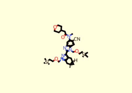 CN(C(=O)CC1CCOCC1)c1cc2nc(-c3nn(COCC[Si](C)(C)C)c4c3C[C@@H]3C[C@]3(C)C4)n(COCC[Si](C)(C)C)c2cc1C#N